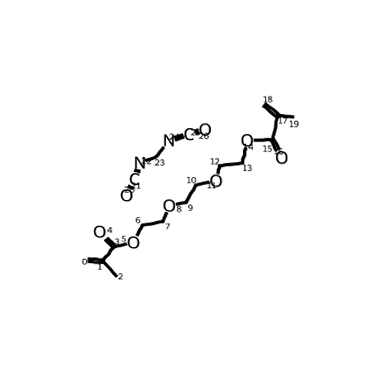 C=C(C)C(=O)OCCOCCOCCOC(=O)C(=C)C.O=C=NCN=C=O